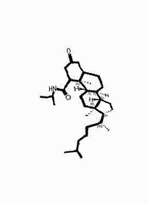 CC(C)CCC[C@@H](C)[C@H]1CC[C@H]2[C@@H]3CCC4CC(=O)CC(C(=O)NC(C)C)[C@]4(C)[C@H]3CC[C@]12C